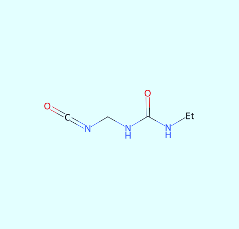 CCNC(=O)NCN=C=O